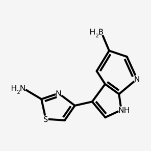 Bc1cnc2[nH]cc(-c3csc(N)n3)c2c1